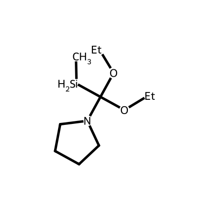 CCOC(OCC)([SiH2]C)N1CCCC1